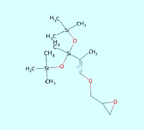 C/C(=C\OCC1CO1)[Si](C)(O[Si](C)(C)C)O[Si](C)(C)C